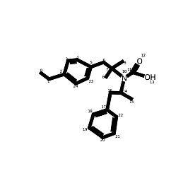 CCc1ccc(CC(C)(C)N(C(=O)O)C(C)Cc2ccccc2)cc1